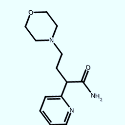 NC(=O)C(CCN1CCOCC1)c1ccccn1